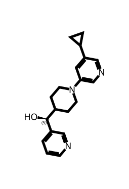 O[C@H](c1cccnc1)C1CCN(c2cncc(C3CC3)c2)CC1